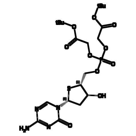 CC(C)(C)OC(=O)COP(=O)(OCC(=O)OC(C)(C)C)OC[C@H]1S[C@@H](n2cnc(N)nc2=O)CC1O